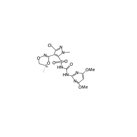 COc1cc(OC)nc(NC(=O)NS(=O)(=O)c2c(C3=NOC[C@@H](C)O3)c(Cl)nn2C)n1